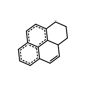 [C]1CCC2C=Cc3cccc4ccc1c2c34